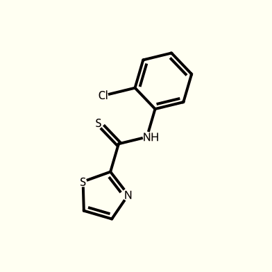 S=C(Nc1ccccc1Cl)c1nccs1